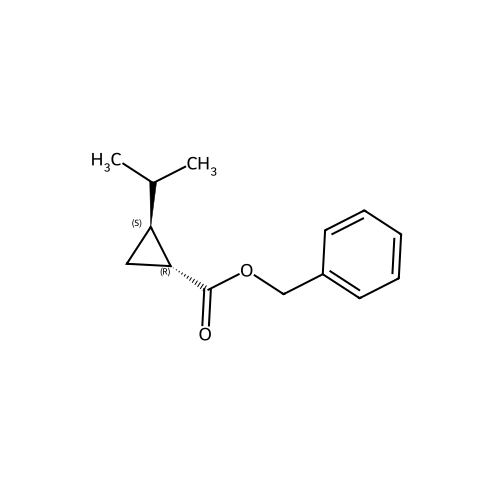 CC(C)[C@@H]1C[C@H]1C(=O)OCc1ccccc1